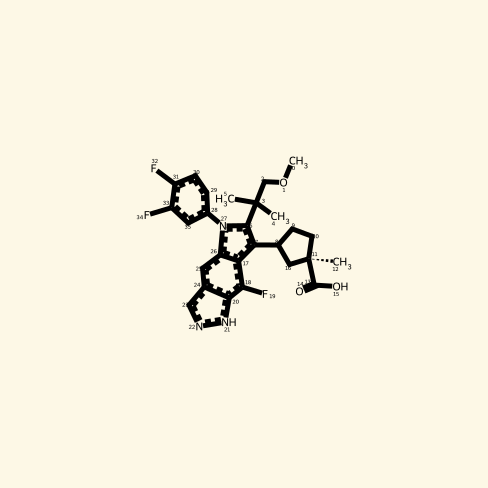 COCC(C)(C)c1c(C2CC[C@@](C)(C(=O)O)C2)c2c(F)c3[nH]ncc3cc2n1-c1ccc(F)c(F)c1